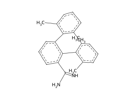 Cc1cccc(C)c1-c1cccc(C(=N)N)c1-c1c(C)cccc1C